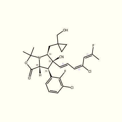 C\C(F)=C/C(Cl)=C\C=C\[C@@]1(C#N)[C@H](CC2(CO)CC2)N2[C@@H](C(=O)OC2(C)C)[C@@H]1c1cccc(Cl)c1F